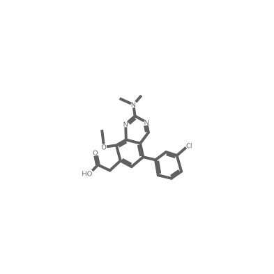 COc1c(CC(=O)O)cc(-c2cccc(Cl)c2)c2cnc(N(C)C)nc12